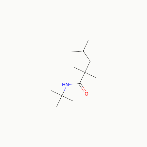 CC(C)CC(C)(C)C(=O)NC(C)(C)C